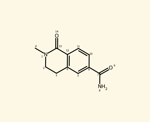 CN1CCc2cc(C(N)=O)ccc2C1=O